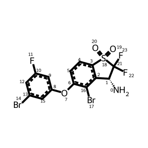 N[C@@H]1c2c(ccc(Oc3cc(F)cc(Br)c3)c2Br)S(=O)(=O)C1(F)F